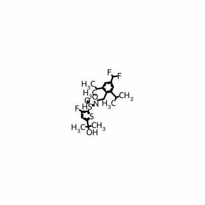 CC(C)c1cc(C(F)F)cc(C(C)C)c1CC(=O)N=[SH](=O)c1sc(C(C)(C)O)cc1F